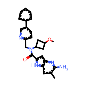 COC1CC(N(Cc2ccc(-c3ccccc3)cn2)C(=O)c2cc3nc(N)c(C)cc3[nH]2)C1